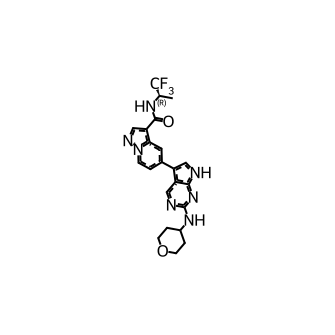 C[C@@H](NC(=O)c1cnn2ccc(-c3c[nH]c4nc(NC5CCOCC5)ncc34)cc12)C(F)(F)F